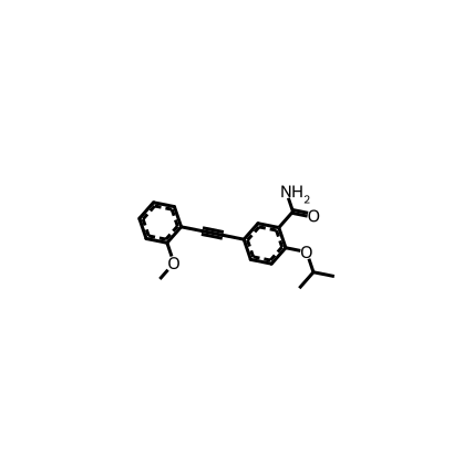 COc1ccccc1C#Cc1ccc(OC(C)C)c(C(N)=O)c1